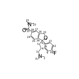 CN(C)CCCC1(c2ccc(F)cc2)OCc2cc(C(=O)N(C)C)ccc21